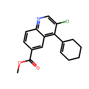 COC(=O)c1ccc2ncc(Cl)c(C3=CCCCC3)c2c1